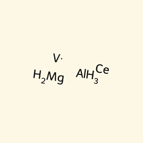 [AlH3].[Ce].[MgH2].[V]